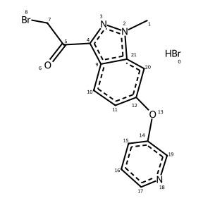 Br.Cn1nc(C(=O)CBr)c2ccc(Oc3cccnc3)cc21